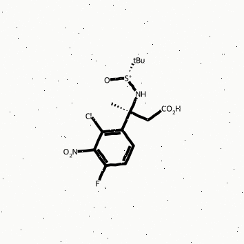 CC(C)(C)[S@@+]([O-])N[C@@](C)(CC(=O)O)c1ccc(F)c([N+](=O)[O-])c1Cl